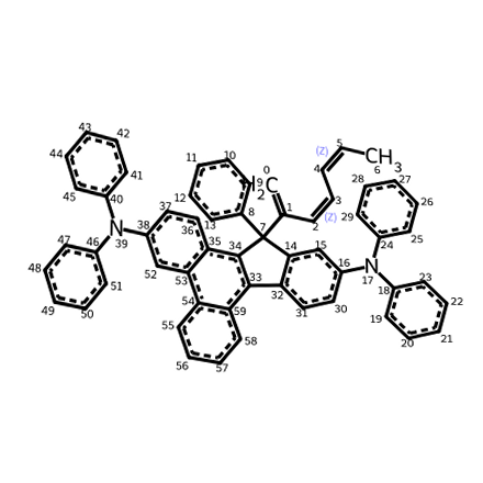 C=C(/C=C\C=C/C)C1(c2ccccc2)c2cc(N(c3ccccc3)c3ccccc3)ccc2-c2c1c1ccc(N(c3ccccc3)c3ccccc3)cc1c1ccccc21